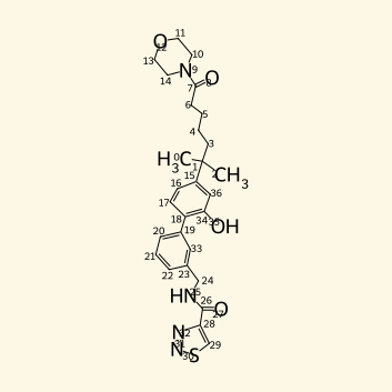 CC(C)(CCCCC(=O)N1CCOCC1)c1ccc(-c2cccc(CNC(=O)c3csnn3)c2)c(O)c1